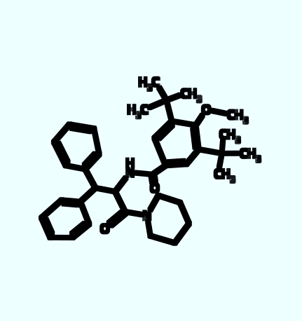 COc1c(C(C)(C)C)cc(C(=O)NC(C(=O)N2CCCCC2)C(c2ccccc2)c2ccccc2)cc1C(C)(C)C